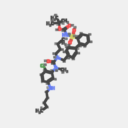 CCCCCNc1ccc(Cl)c(N(C)C(=O)N(CCCC)Cc2ccc(-c3ccccc3S(=O)(=O)NC(=O)OC(C)(C)C)cc2)c1